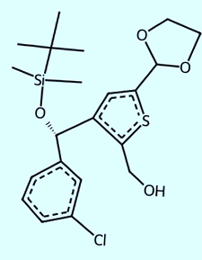 CC(C)(C)[Si](C)(C)O[C@@H](c1cccc(Cl)c1)c1cc(C2OCCO2)sc1CO